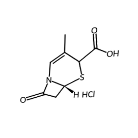 CC1=CN2C(=O)C[C@H]2SC1C(=O)O.Cl